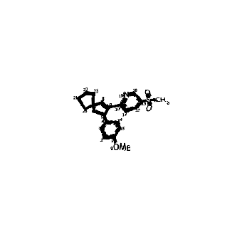 COc1ccc(C2=CC3(C=C2c2ccc(S(C)(=O)=O)cn2)CCCC3)cc1